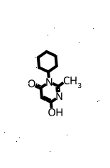 Cc1nc(O)cc(=O)n1C1CCCCC1